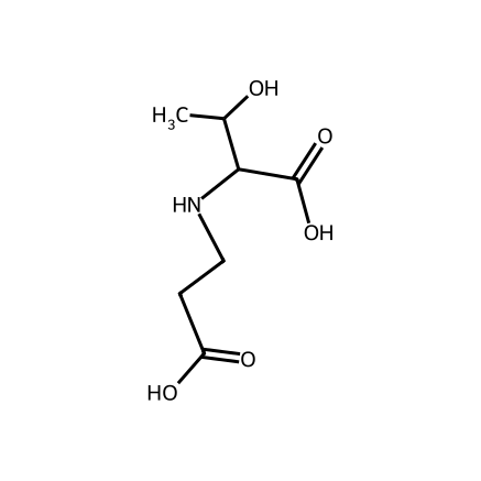 CC(O)C(NCCC(=O)O)C(=O)O